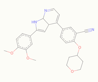 COc1ccc(C2=CC3C(c4ccc(OC5CCOCC5)c(C#N)c4)=CC=NC3N2)cc1OC